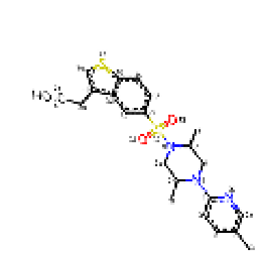 Cc1ccc(N2CC(C)N(S(=O)(=O)c3ccc4scc(CC(=O)O)c4c3)CC2C)nc1